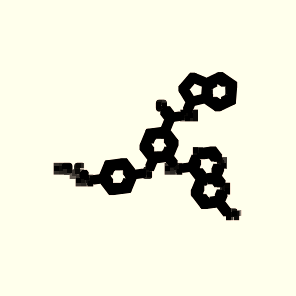 CC(C)c1ccc2c(Nc3cc(C(=O)NC4CCc5ccccc54)ccc3Sc3ccc(NC(=O)O)cc3)ncnc2n1